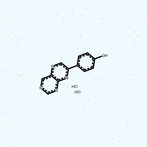 Cl.Cl.Oc1ccc(-c2cnc3cncnc3n2)cc1